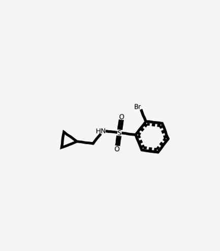 O=S(=O)(NCC1CC1)c1ccccc1Br